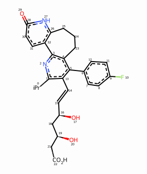 CC(C)c1nc2c(c(-c3ccc(F)cc3)c1/C=C/[C@@H](O)C[C@@H](O)CC(=O)O)CCCc1[nH]c(=O)ccc1-2